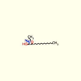 CCCCCCCCCCCCCC[C@H](C[C@H](CO)N=[N+]=[N-])OCCCC